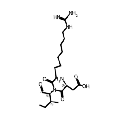 CC[C@H](C)[C@@H]([C]=O)N(C(=O)CCCCCCCCNC(=N)N)C(=O)[C@@H](N)CC(=O)O